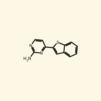 Nc1nccc(-c2cc3ccccc3s2)n1